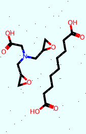 O=C(O)CCCCCCCC(=O)O.O=C(O)CN(CC1CO1)CC1CO1